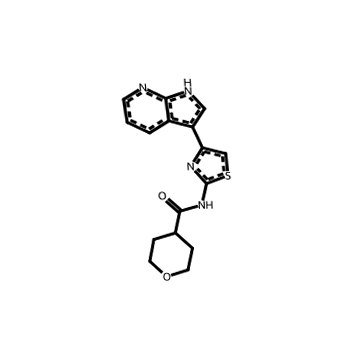 O=C(Nc1nc(-c2c[nH]c3ncccc23)cs1)C1CCOCC1